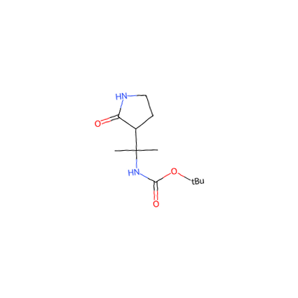 CC(C)(C)OC(=O)NC(C)(C)C1CCNC1=O